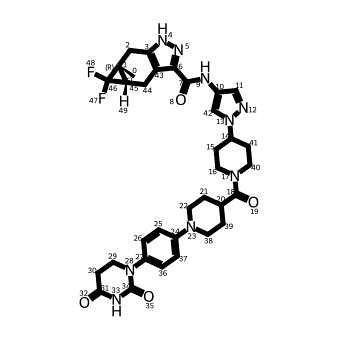 C[C@@]12Cc3[nH]nc(C(=O)Nc4cnn(C5CCN(C(=O)C6CCN(c7ccc(N8CCC(=O)NC8=O)cc7)CC6)CC5)c4)c3C[C@@H]1C2(F)F